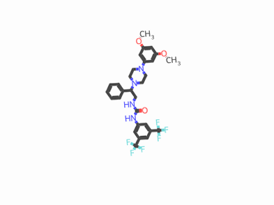 COc1cc(OC)cc(N2CCN(C(CNC(=O)Nc3cc(C(F)(F)F)cc(C(F)(F)F)c3)c3ccccc3)CC2)c1